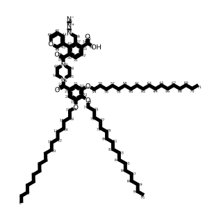 CCCCCCCCCCCCCCCCCCOc1cc(C(=O)N2CCN(C(=O)c3ccc(C(=O)O)c(CN=[N+]=[N-])c3C3=CC=COC3)CC2)cc(OCCCCCCCCCCCCCCCCCC)c1OCCCCCCCCCCCCCCCCCC